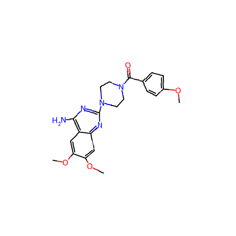 COc1ccc(C(=O)N2CCN(c3nc(N)c4cc(OC)c(OC)cc4n3)CC2)cc1